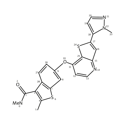 CNC(=O)c1c(C)sc2cc(Oc3ccnc4cc(-c5ccnn5C)sc34)ccc12